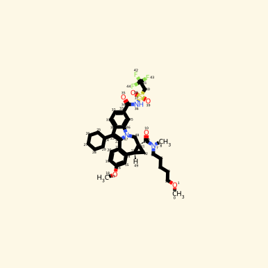 COCCCCCN(C)C(=O)[C@]12C[C@H]1c1cc(OC)ccc1-c1c(C3CCCCC3)c3ccc(C(=O)NS(=O)(=O)CC(F)(F)F)cc3n1C2